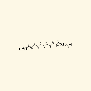 CCCCC=CCCCCCCCCCS(=O)(=O)O